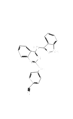 N#Cc1ccc(Nc2nc(Nc3n[nH]c4ccccc34)c3ccccc3n2)cc1